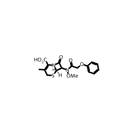 CON(C(=O)COc1ccccc1)C1C(=O)N2C(C(=O)O)=C(C)CS[C@H]12